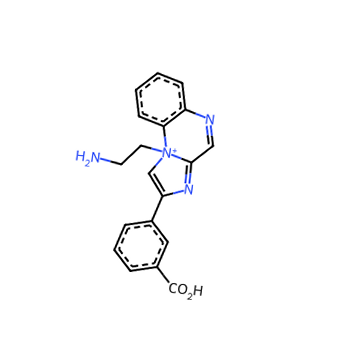 NCC[N+]12C=C(c3cccc(C(=O)O)c3)N=C1C=Nc1ccccc12